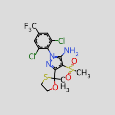 CC1(c2nn(-c3c(Cl)cc(C(F)(F)F)cc3Cl)c(N)c2S(C)(=O)=O)OCCS1